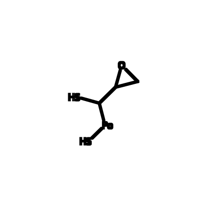 [SH][Po][CH](S)C1CO1